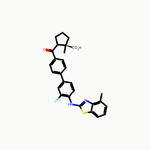 Cc1cccc2sc(Nc3ccc(-c4ccc(C(=O)C5CCC[C@@]5(C)C(=O)O)cc4)cc3F)nc12